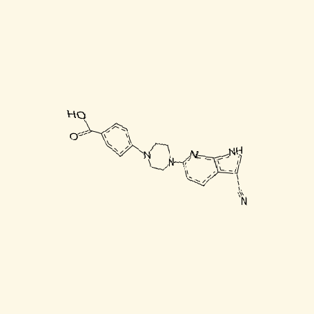 N#Cc1c[nH]c2nc(N3CCN(c4ccc(C(=O)O)cc4)CC3)ccc12